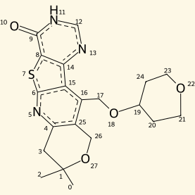 CC1(C)Cc2nc3sc4c(=O)[nH]cnc4c3c(COC3CCOCC3)c2CO1